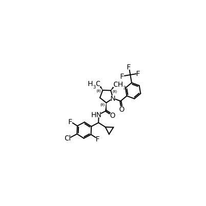 C[C@@H]1C[C@H](C(=O)NC(c2cc(F)c(Cl)cc2F)C2CC2)N(C(=O)c2cccc(C(F)(F)F)c2)[C@@H]1C